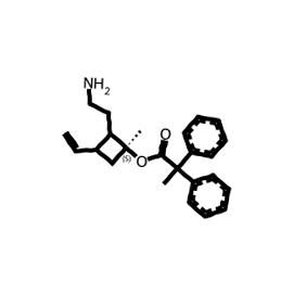 C=CC1C[C@](C)(OC(=O)C(C)(c2ccccc2)c2ccccc2)C1CCN